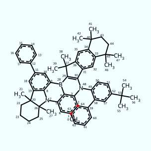 Cc1cc2c3c(c1)N1c4c(cc(-c5ccccc5)cc4C4(C)CCCCC14C)B3C1=C(c3cc4c(cc3C1(C)C)C(C)(C)CCC4(C)C)N2c1ccc(C(C)(C)C)cc1-c1ccccc1